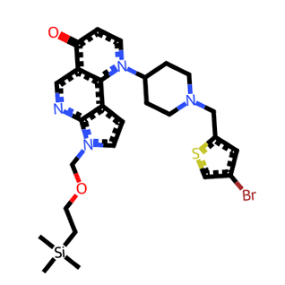 C[Si](C)(C)CCOCn1ccc2c1ncc1c(=O)ccn(C3CCN(Cc4cc(Br)cs4)CC3)c12